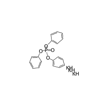 O=P(Oc1ccccc1)(Oc1ccccc1)Oc1ccccc1.[KH].[KH].[KH]